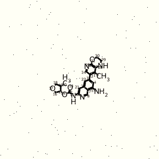 Cc1c(-c2cc(N)c3cnc(NC(=O)O[C@H]4COC[C@@H]4C)cc3c2)cnc2c1NCCO2